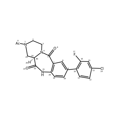 CC(=O)N1CCN2C(=O)c3cc(-c4ccc(Cl)cc4F)ccc3NC(=O)[C@H]2C1